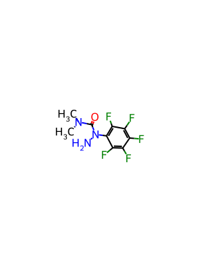 CN(C)C(=O)N(N)c1c(F)c(F)c(F)c(F)c1F